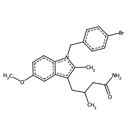 COc1ccc2c(c1)c(CC(C)CC(N)=O)c(C)n2Cc1ccc(Br)cc1